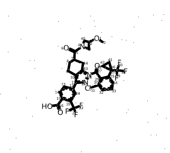 COC1CN(C(=O)C2CCc3c(-c4ccc(C(=O)O)c(C(F)(F)F)c4)nn(C(=O)c4c(Cl)cccc4C4(C(F)(F)F)CC4)c3C2)C1